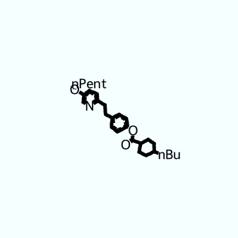 CCCCCOc1ccc(CCc2ccc(OC(=O)C3CCC(CCCC)CC3)cc2)nc1